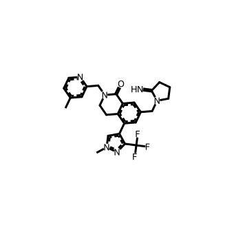 Cc1ccnc(CN2CCc3c(cc(CN4CCCC4=N)cc3-c3cn(C)nc3C(F)(F)F)C2=O)c1